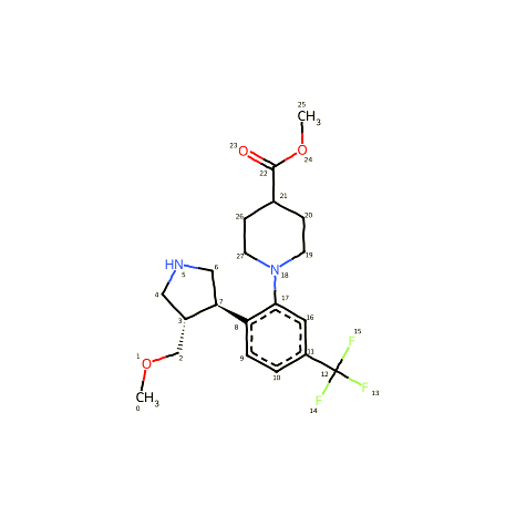 COC[C@@H]1CNC[C@H]1c1ccc(C(F)(F)F)cc1N1CCC(C(=O)OC)CC1